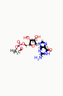 COP(=O)(OC)OC[C@H]1O[C@@H](n2cnc3c(=O)[nH]c(N)nc32)[C@H](O)[C@@H]1O